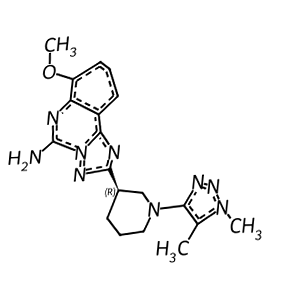 COc1cccc2c1nc(N)n1nc([C@@H]3CCCN(c4nnn(C)c4C)C3)nc21